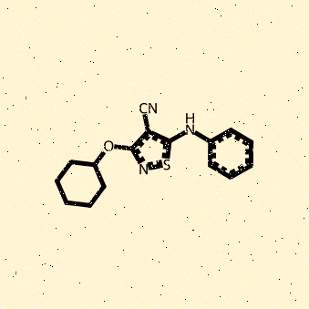 N#Cc1c(OC2CCCCC2)nsc1Nc1ccccc1